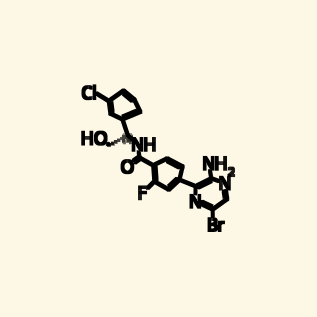 Nc1ncc(Br)nc1-c1ccc(C(=O)N[C@H](CO)c2cccc(Cl)c2)c(F)c1